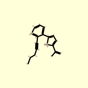 C=C(C)c1ccc(-c2cccnc2C#CCCC)[nH]1